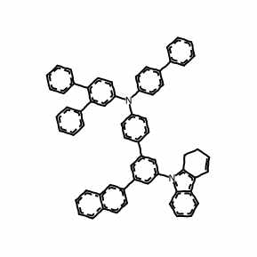 C1=Cc2c(n(-c3cc(-c4ccc(N(c5ccc(-c6ccccc6)cc5)c5ccc(-c6ccccc6)c(-c6ccccc6)c5)cc4)cc(-c4ccc5ccccc5c4)c3)c3ccccc23)CC1